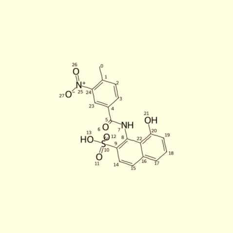 Cc1ccc(C(=O)Nc2c(S(=O)(=O)O)ccc3cccc(O)c23)cc1[N+](=O)[O-]